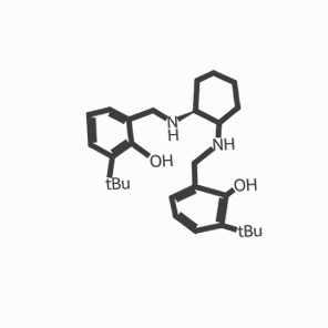 CC(C)(C)c1cccc(CNC2CCCC[C@@H]2NCc2cccc(C(C)(C)C)c2O)c1O